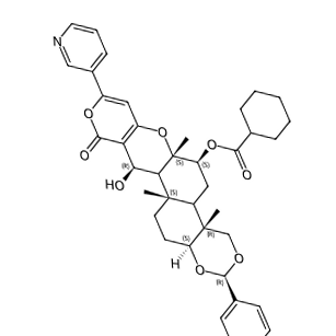 C[C@]12CC[C@@H]3O[C@H](c4ccccc4)OC[C@@]3(C)C1C[C@H](OC(=O)C1CCCCC1)[C@@]1(C)Oc3cc(-c4cccnc4)oc(=O)c3[C@H](O)C21